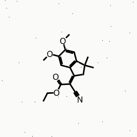 CCOC(=O)C(C#N)=C1CC(C)(C)c2cc(OC)c(OC)cc21